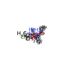 Cc1cc(NC(=O)[C@H](CCN)NC(=O)[C@@H]2Cc3ccccc3CN2C(=O)CCC(=O)N2CCCC3(CCC3)C2)cc(C)c1Cl